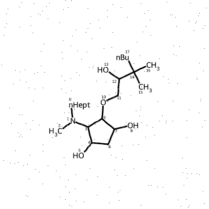 CCCCCCCN(C)C1C(O)CC(O)C1OCC(O)C(C)(C)CCCC